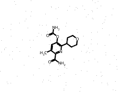 Cc1cc(OC(N)=O)c(C2CCOCC2)nc1C(N)=O